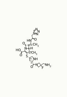 C[C@@H](NC(=O)Cn1cnnn1)[C@H]1C(=O)N2C(C(=O)O)=C(S[C@@H]3CN[C@H](C(=O)N4CC(F)(CN)C4)C3)[C@H](C)[C@H]12